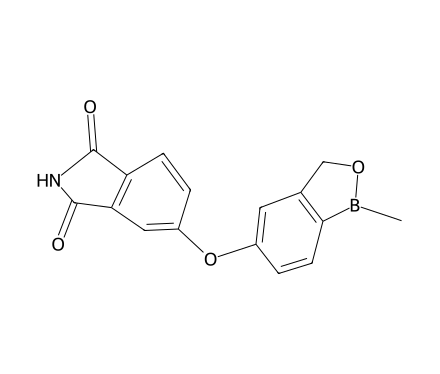 CB1OCc2cc(Oc3ccc4c(c3)C(=O)NC4=O)ccc21